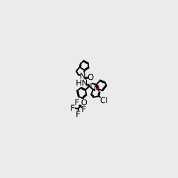 O=C(N[C@](Cc1ccccc1)(c1cccc(OC(F)(F)C(F)F)c1)c1ccc(Cl)cn1)N1CCc2ccccc21